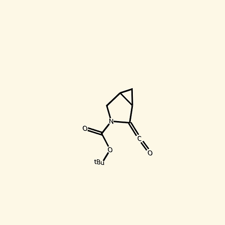 CC(C)(C)OC(=O)N1CC2CC2C1=C=O